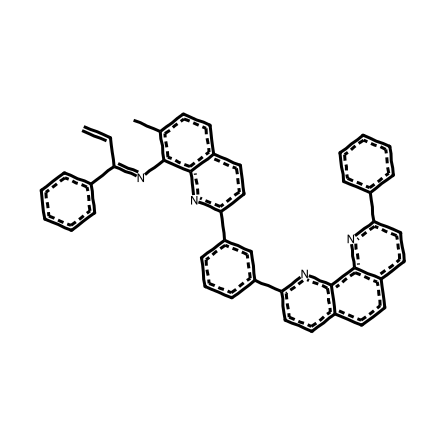 C=C/C(=N\c1c(C)ccc2ccc(-c3cccc(-c4ccc5ccc6ccc(-c7ccccc7)nc6c5n4)c3)nc12)c1ccccc1